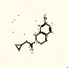 O=C(CC1CC1)N1CCc2ccc(Br)cc2C1